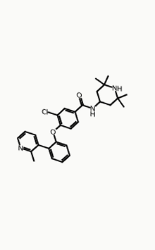 Cc1ncccc1-c1ccccc1Oc1ccc(C(=O)NC2CC(C)(C)NC(C)(C)C2)cc1Cl